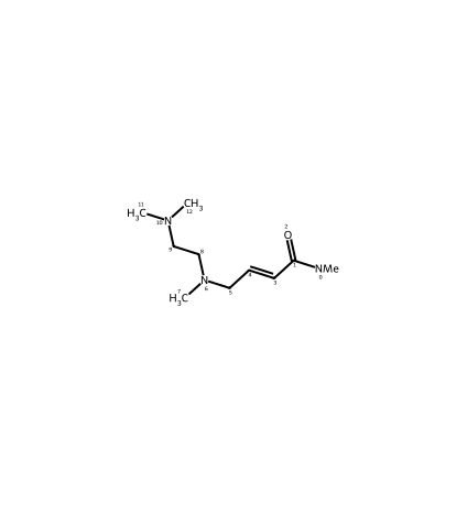 CNC(=O)/C=C/CN(C)CCN(C)C